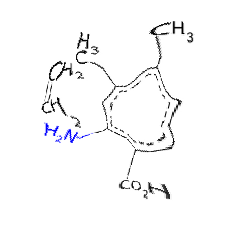 C=C.Cc1ccc(C(=O)O)c(N)c1C